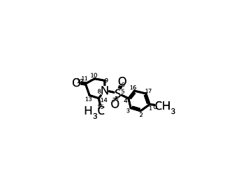 Cc1ccc(S(=O)(=O)N2CCC(=O)CC2C)cc1